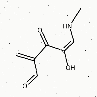 C=C(C=O)C(=O)/C(O)=C\NC